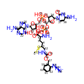 CSSC(CCC(N)C(=O)O[C@H]1[C@@H](O)[C@H](n2cnc3c(N)ncnc32)O[C@@H]1COP(=O)(O)O[C@H]1C[C@H](n2ccc(N)nc2=O)O[C@@H]1COP(=O)(O)O)CNC(=O)OCc1ccccc1N=[N+]=[N-]